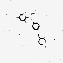 Cc1cc(C(C)C)cnc1N(CC(C)C)S(=O)(=O)c1ccc(OCC2CCN(C(=O)O)CC2F)cc1